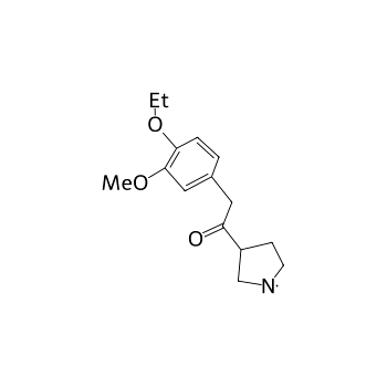 CCOc1ccc(CC(=O)C2CC[N]C2)cc1OC